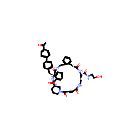 CC(=O)c1ccc(-c2ccc(C[C@@H]3NC(=O)[C@]4(Cc5ccccc5)CCCN(C4)C(=O)/C=C/C(=O)NCC[C@@H](C(=O)NCCO)NC(=O)Cc4ccccc4CNC3=O)cc2)cc1